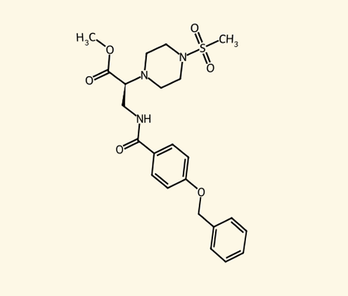 COC(=O)[C@H](CNC(=O)c1ccc(OCc2ccccc2)cc1)N1CCN(S(C)(=O)=O)CC1